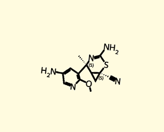 COc1ncc(N)cc1[C@@]1(C)N=C(N)S[C@@]2(C#N)CC21